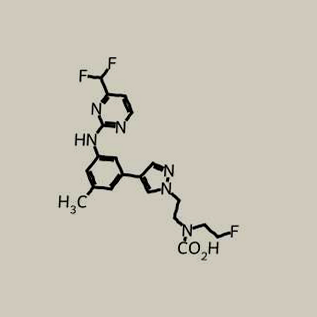 Cc1cc(Nc2nccc(C(F)F)n2)cc(-c2cnn(CCN(CCF)C(=O)O)c2)c1